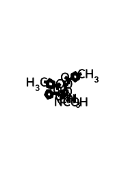 Cc1ccc(C(=O)OCC2O[C@@H](C(C#N)=NO)[C@](C)(OCc3ccccc3)[C@@H]2OC(=O)c2ccc(C)cc2)cc1